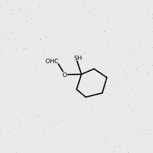 O=COC1(S)CCCCC1